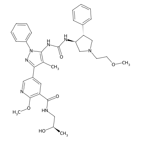 COCCN1C[C@@H](NC(=O)Nc2c(C)c(-c3cnc(OC)c(C(=O)NC[C@@H](C)O)c3)nn2-c2ccccc2)[C@H](c2ccccc2)C1